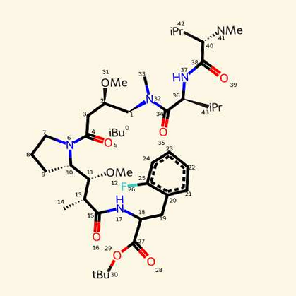 CC[C@H](C)[C@@H]([C@@H](CC(=O)N1CCC[C@H]1[C@H](OC)[C@@H](C)C(=O)NC(Cc1ccccc1F)C(=O)OC(C)(C)C)OC)N(C)C(=O)[C@@H](NC(=O)[C@@H](NC)C(C)C)C(C)C